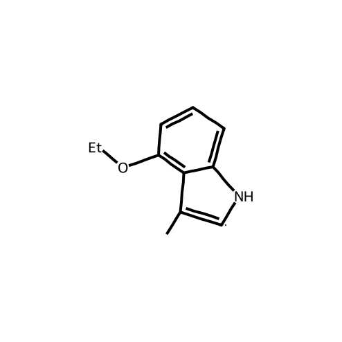 CCOc1cccc2[nH][c]c(C)c12